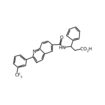 O=C(O)CC(NC(=O)c1ccc2nc(-c3cccc(C(F)(F)F)c3)ccc2c1)c1ccccc1